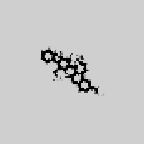 Cc1c2c(c(CC(C)(C)C)c3c1oc1ccccc13)Oc1cc3ccc(CC(C)(C)C)cc3c3cc[n+](C)c-2c13